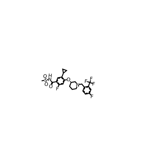 CS(=O)(=O)NC(=O)c1cc(C2CC2)c(O[C@@H]2CCCN(Cc3ccc(F)cc3C(F)(F)F)C2)cc1F